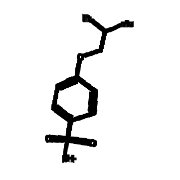 CCCCC(CC)COc1ccc(S([NH])(=O)=O)cc1